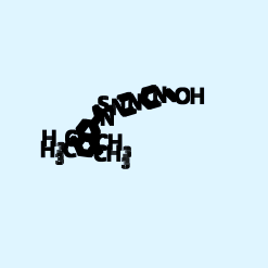 CC1(C)CCC(C)(C)c2cc(-c3csc(N4CCN(C5CCN(CCO)CC5)CC4)n3)ccc21